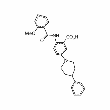 COc1ccccc1C(=O)Nc1ccc(N2CCC(c3ccccc3)CC2)cc1C(=O)O